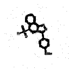 CCS(=O)(=O)c1nn2c(-c3ccc(OC)cc3)nnc2c2ccccc12